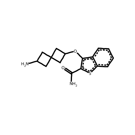 NC(=O)c1sc2ccccc2c1OC1CC2(CC(N)C2)C1